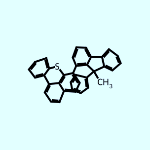 CC1(c2ccccc2)c2ccccc2-c2cccc(-c3ccc4cccc5c4c3Sc3ccccc3-5)c21